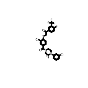 C[C@H]1CN(C(=O)c2ccc(SCC(=O)c3ccc(F)c(C(F)(F)F)c3)c(Cl)c2)CCN1c1cccc(Cl)c1